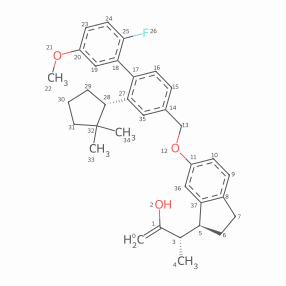 C=C(O)[C@@H](C)[C@@H]1CCc2ccc(OCc3ccc(-c4cc(OC)ccc4F)c([C@H]4CCCC4(C)C)c3)cc21